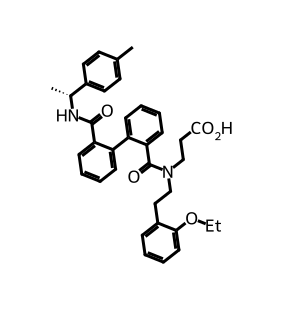 CCOc1ccccc1CCN(CCC(=O)O)C(=O)c1ccccc1-c1ccccc1C(=O)N[C@H](C)c1ccc(C)cc1